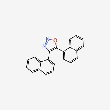 c1ccc2c(-c3nnoc3-c3cccc4ccccc34)cccc2c1